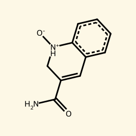 NC(=O)C1=Cc2ccccc2[NH+]([O-])C1